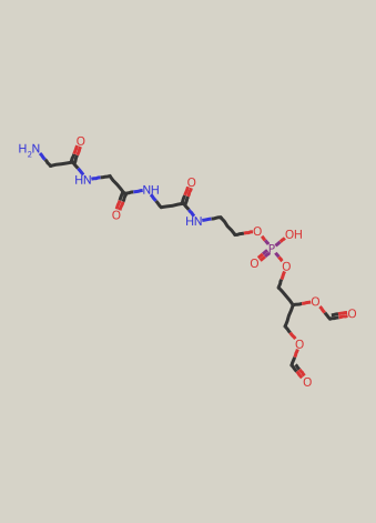 NCC(=O)NCC(=O)NCC(=O)NCCOP(=O)(O)OCC(COC=O)OC=O